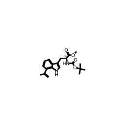 C=C(C)c1cccc2c(C[C@H](NC(=O)OC(C)(C)C)C(=O)OC)c[nH]c12